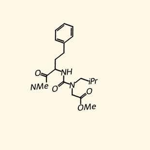 CNC(=O)C(CCc1ccccc1)NC(=O)N(CC(=O)OC)CC(C)C